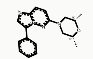 C[C@@H]1CN(c2ccc3ncc(-c4ccccc4)n3n2)C[C@H](C)O1